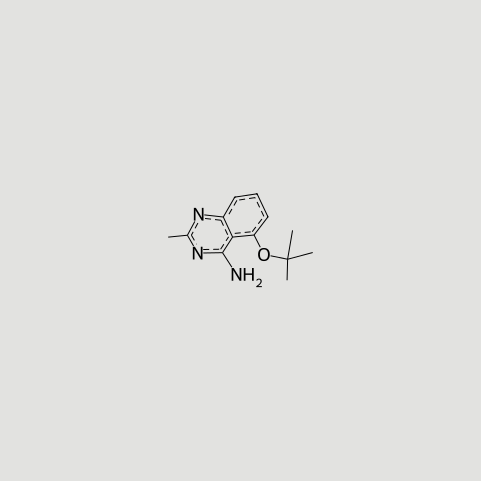 Cc1nc(N)c2c(OC(C)(C)C)cccc2n1